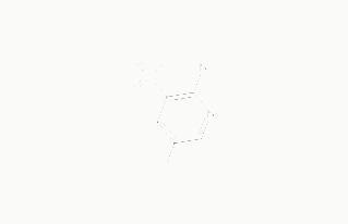 Nc1ncc(Cl)cc1S(=O)(=O)Cl